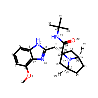 COc1cccc2[nH]c(C[C@@H]3C[C@H]4CC[C@@H](C3)N4CC(=O)NC(C)(C)C)nc12